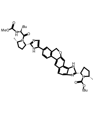 CC[C@H](C)[C@H](NC(=O)OC)C(=O)N1[C@@H](C)CC[C@H]1c1ncc(-c2ccc3c(c2)COc2cc4c(ccc5nc([C@@H]6CC[C@H](C)N6C(=O)OC(C)(C)C)[nH]c54)cc2-3)[nH]1